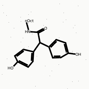 CCCCCCCCNC(=O)C(c1ccc(O)cc1)c1ccc(O)cc1